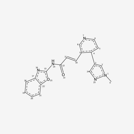 Cn1cc(-c2ccncc2C=CC(=O)Nc2nc3ccccc3o2)cn1